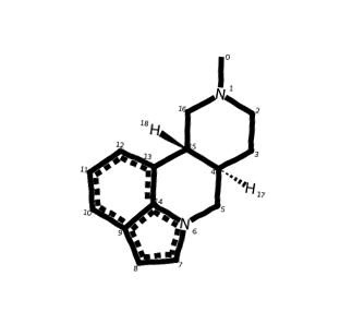 CN1CC[C@H]2Cn3ccc4cccc(c43)[C@@H]2C1